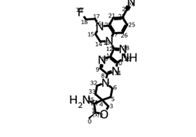 C[C@@H]1OCC2(CCN(c3cnc4c(N5CCN(CCF)c6cc(C#N)ccc65)n[nH]c4n3)CC2)[C@@H]1N